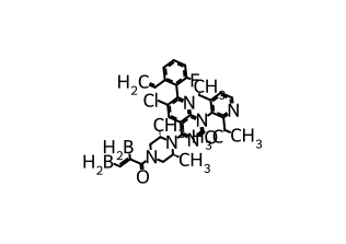 B/C=C(\B)C(=O)N1C[C@H](C)N(c2nc(=O)n(-c3c(CC)ccnc3C(C)C)c3nc(-c4c(F)cccc4C=C)c(Cl)cc23)[C@@H](C)C1